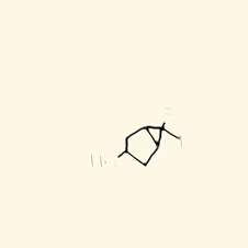 OC1CC2C(C1)C2(F)F